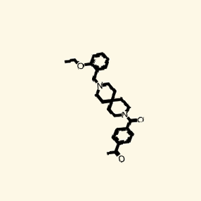 CCOc1ccccc1CN1CCC2(CC1)CCN(C(=O)c1ccc(C(C)=O)cc1)CC2